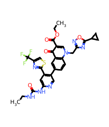 CCNC(=O)Nc1cc(-c2nc(C(F)(F)F)cs2)c(-c2ccc3c(c2)c(=O)c(C(=O)OCC)cn3Cc2noc(C3CC3)n2)cn1